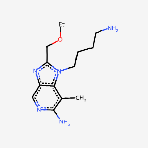 CCOCc1nc2cnc(N)c(C)c2n1CCCCN